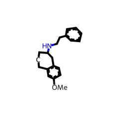 COc1ccc2c(c1)CCCC(NCCc1ccccc1)C2